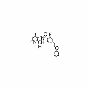 Cc1cc(C)c(CNC(=O)c2ccc(CCOc3ccccc3)cc2F)c(O)n1